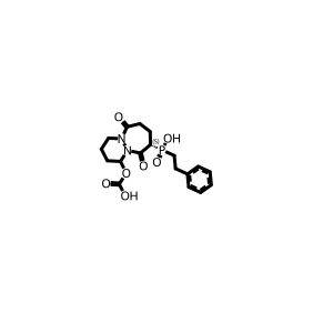 O=C(O)OC1CCCN2C(=O)CC[C@H](P(=O)(O)CCc3ccccc3)C(=O)N12